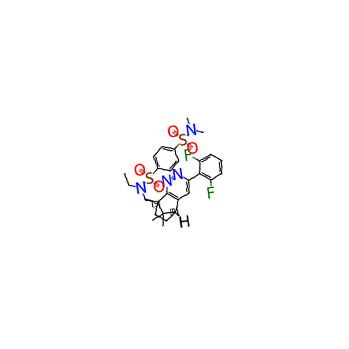 CCN(C[C@@]12CC[C@@H](c3cc(-c4c(F)cccc4F)nnc31)C2(C)C)S(=O)(=O)c1ccc(S(=O)(=O)N(C)C)cc1